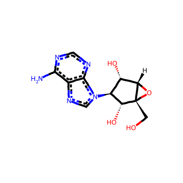 Nc1ncnc2c1ncn2[C@H]1[C@H](O)[C@@H]2O[C@]2(CO)[C@@H]1O